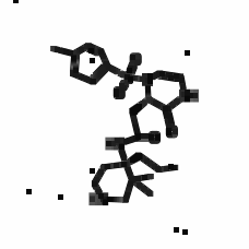 CCC[C@]1(NC(=O)C[C@@H]2C(=O)NC=CN2S(=O)(=O)c2ccc(C)cc2)CCNCC1(C)C